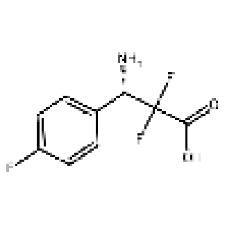 N[C@@H](c1ccc(F)cc1)C(F)(F)C(=O)O